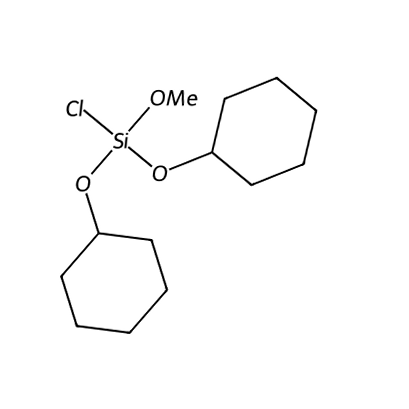 CO[Si](Cl)(OC1CCCCC1)OC1CCCCC1